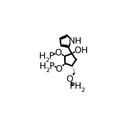 O[C@@]1(c2ccc[nH]2)C[C@H](COP)[C@@H](OP)[C@H]1OP